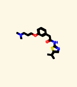 CC(C)c1cnc(NC(=O)Cc2cccc(OCCCN(C)C)c2)s1